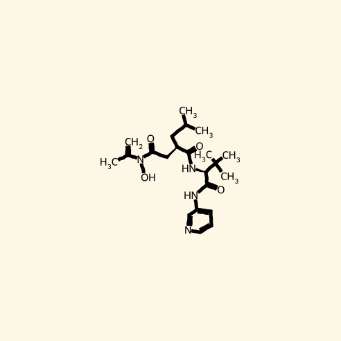 C=C(C)N(O)C(=O)C[C@@H](CC(C)C)C(=O)N[C@H](C(=O)Nc1cccnc1)C(C)(C)C